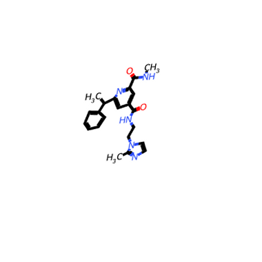 CNC(=O)c1cc(C(=O)NCCn2ccnc2C)cc(C(C)c2ccccc2)n1